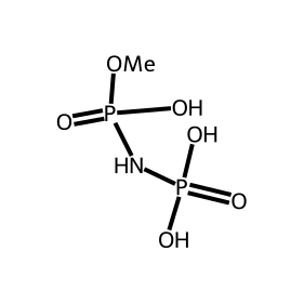 COP(=O)(O)NP(=O)(O)O